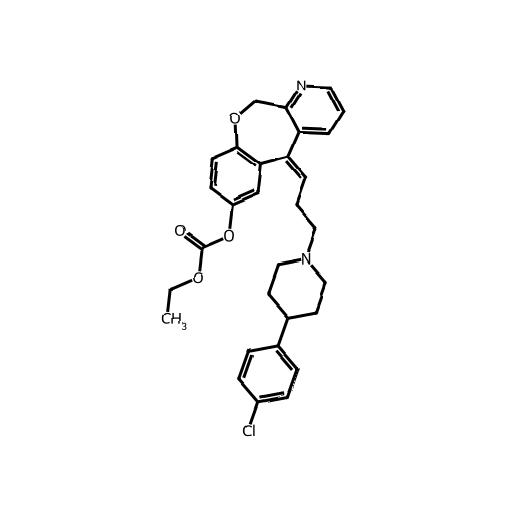 CCOC(=O)Oc1ccc2c(c1)C(=CCCN1CCC(c3ccc(Cl)cc3)CC1)c1cccnc1CO2